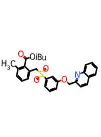 Cc1cccc(CS(=O)(=O)c2cccc(OCc3ccc4ccccc4n3)c2)c1C(=O)OCC(C)C